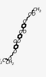 C=CC(=C)OCCCOc1ccc(C(=O)Oc2ccc(OC(=O)c3ccc(OCCCOC(=O)C=C)cc3)cc2)cc1